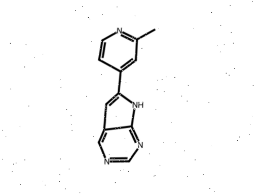 Cc1cc(-c2cc3cncnc3[nH]2)ccn1